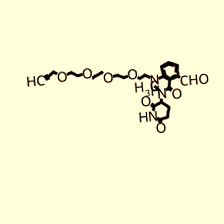 C#CCOCCOCCOCCOCCNc1cccc(C=O)c1C(=O)N(C)C1CCC(=O)NC1=O